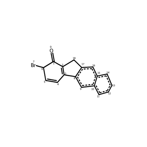 O=C1C2=C(C=CC1Br)c1cc3ccccc3cc1C2